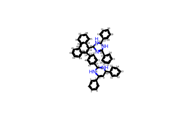 C1=C(c2ccccc2)NC(c2ccc(-c3c(C4N=C(c5ccccc5)NC(c5ccccc5)N4)c4ccccc4c4ccccc34)cc2)NC1c1ccccc1